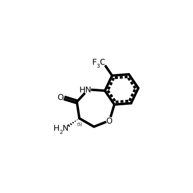 N[C@H]1COc2cccc(C(F)(F)F)c2NC1=O